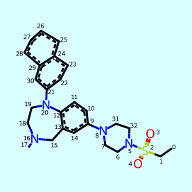 CCS(=O)(=O)N1CCN(c2ccc3c(c2)CN(C)CCN3c2ccc3ccccc3c2)CC1